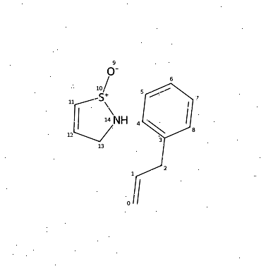 C=CCc1ccccc1.[O-][S+]1C=CCN1